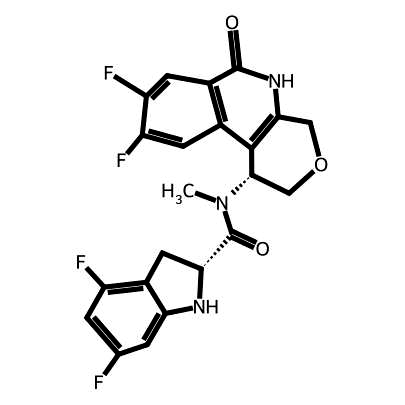 CN(C(=O)[C@H]1Cc2c(F)cc(F)cc2N1)[C@H]1COCc2[nH]c(=O)c3cc(F)c(F)cc3c21